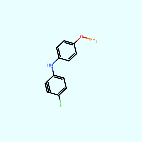 Fc1c#cc(Nc2ccc(OP)cc2)cc1